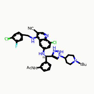 CC(=O)Nc1cccc([C@H](Nc2cc(Cl)c3ncc(C#N)c(NCc4ccc(Cl)c(F)c4)c3c2)C2=CN(C3CCN(C(C)(C)C)CC3)NN2)c1